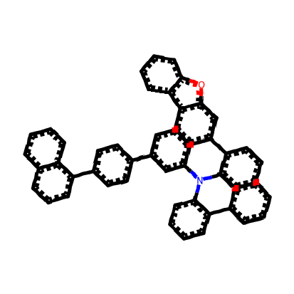 c1ccc(-c2ccccc2N(c2cccc(-c3ccc(-c4cccc5ccccc45)cc3)c2)c2ccccc2-c2ccc3c(c2)oc2ccccc23)cc1